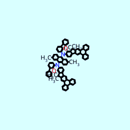 Cc1ccc2c(N(c3ccc4c(c3)C(C)(C)c3cc5c6ccccc6c6ccccc6c5cc3-4)c3cccc4c3oc3ccccc34)c3cc(C)ccc3c(N(c3ccc4c(c3)C(C)(C)c3cc5c6ccccc6c6ccccc6c5cc3-4)c3cccc4c3oc3ccccc34)c2c1